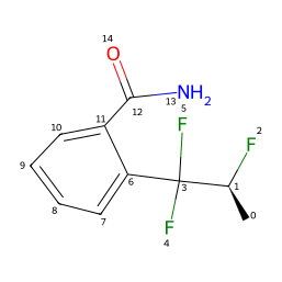 C[C@H](F)C(F)(F)c1ccccc1C(N)=O